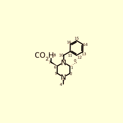 C[C@@H]1CN(C)C[C@@H](CC(=O)O)N1Cc1ccccc1